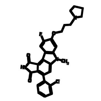 Cn1c2cc(OCCCN3CCCC3)c(F)cc2c2c3c(c(-c4ccccc4Cl)cc21)C(=O)NC3=O